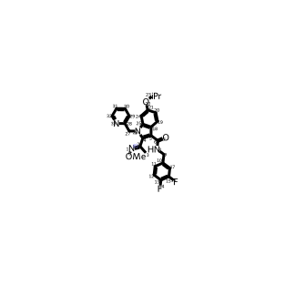 CO/N=C(\C)c1c(C(=O)NCc2ccc(F)c(F)c2)c2ccc(OC(C)C)cc2n1Cc1ccccn1